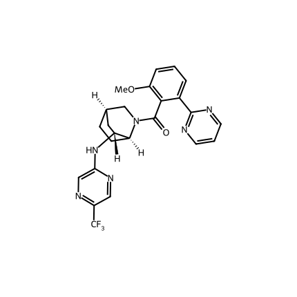 COc1cccc(-c2ncccn2)c1C(=O)N1C[C@@H]2CC[C@H]1[C@H](Nc1cnc(C(F)(F)F)cn1)C2